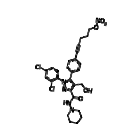 O=C(NN1CCCCC1)c1nn(-c2ccc(Cl)cc2Cl)c(-c2ccc(C#CCCCO[N+](=O)[O-])cc2)c1CO